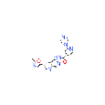 Cc1ncc(-c2cnc3cnc(NC(=O)c4ccnc(N5CCN(C)CC5)c4)cc3c2)o1